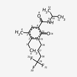 CCc1c(C)cc(C(=O)NC(C)C)c(=O)n1CCCC(F)(F)F